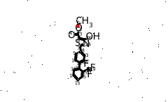 CCOC(=O)c1sc(-c2ccc(-c3ccccc3C(F)(F)F)cc2)nc1O